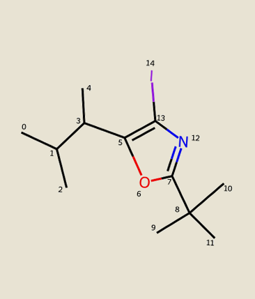 CC(C)C(C)c1oc(C(C)(C)C)nc1I